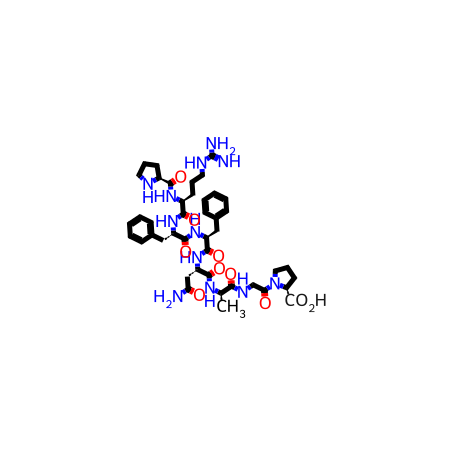 C[C@H](NC(=O)[C@H](CC(N)=O)NC(=O)[C@H](Cc1ccccc1)NC(=O)[C@H](Cc1ccccc1)NC(=O)[C@H](CCCNC(=N)N)NC(=O)[C@@H]1CCCN1)C(=O)NCC(=O)N1CCC[C@@H]1C(=O)O